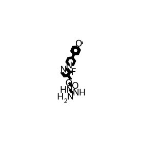 COc1ccc(C2CCN(c3nccc(COC(=O)NC(=N)N)c3F)CC2)cc1